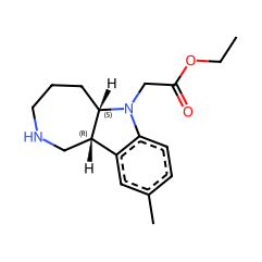 CCOC(=O)CN1c2ccc(C)cc2[C@@H]2CNCCC[C@@H]21